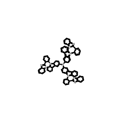 c1ccc(-n2c3ccccc3c3cc(N(c4ccc5c(c4)c4ccccc4n5-c4ccccc4-c4nc5ccccc5o4)c4ccc5c(c4)c4ccccc4n5-c4ccccc4-c4nc5ccccc5o4)ccc32)c(-c2nc3ccccc3o2)c1